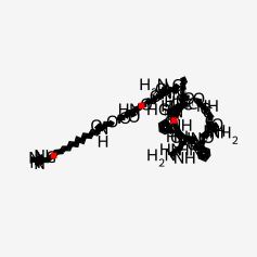 CCCC[C@H](NC(=O)[C@H](CN)NC(=O)COCCOCCNC(=O)COCCOCCNC(=O)CCCCCCCCCCCCCCCc1nnn[nH]1)C(=O)N[C@H]1CCC(=O)NCCCC[C@@H](C(N)=O)NC(=O)[C@H](Cc2c[nH]c3ccccc23)NC(=O)[C@H](CCCNC(=N)N)NC(=O)[C@@H](Cc2ccccc2)NC(=O)[C@@H]2C[C@@H](O)CN2C1=O